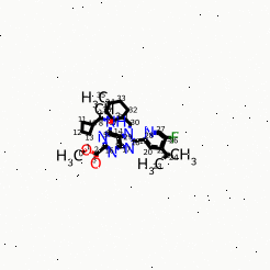 COC(=O)c1nc(N[C@H](C)C2CCC2)c2c(n1)nc(-c1cc(C(C)C)c(F)cn1)n2CC1CCC(C)CC1